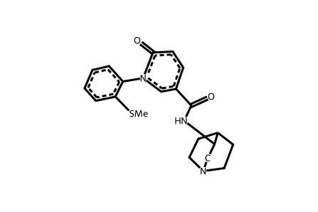 CSc1ccccc1-n1cc(C(=O)NC2CN3CCC2CC3)ccc1=O